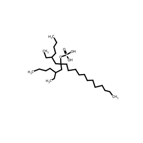 CCCCCCCCCCCCC(CC(CC)CCCC)(CC(CC)CCCC)OP(=O)(O)O